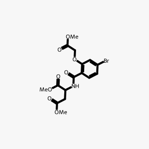 COC(=O)COc1cc(Br)ccc1C(=O)NC(CC(=O)OC)C(=O)OC